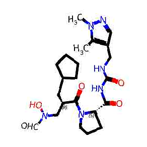 Cc1c(CNC(=O)NC(=O)[C@@H]2CCCN2C(=O)[C@H](CC2CCCC2)CN(O)C=O)cnn1C